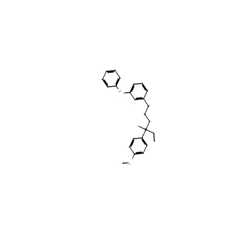 CCC(C)(CCCc1cccc(Oc2ccccc2)c1)c1ccc(OC)cc1